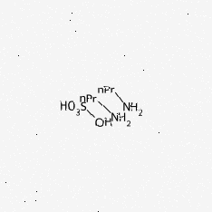 CCCN.CCCN.O=S(=O)(O)O